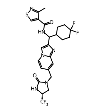 Cc1nscc1C(=O)NC(c1cn2ccc(CN3C[C@@H](C(F)(F)F)NC3=O)cc2n1)C1CCC(F)(F)CC1